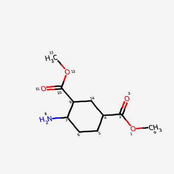 COC(=O)C1CCC(N)C(C(=O)OC)C1